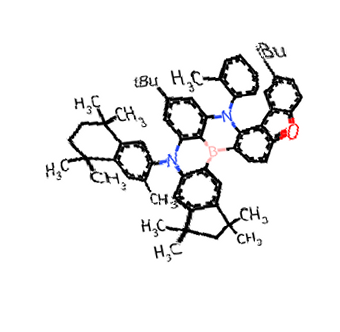 Cc1cc2c(cc1N1c3cc4c(cc3B3c5ccc6oc7ccc(C(C)(C)C)cc7c6c5N(c5ccccc5C)c5cc(C(C)(C)C)cc1c53)C(C)(C)CC4(C)C)C(C)(C)CCC2(C)C